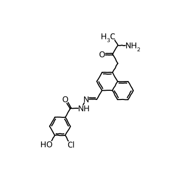 CC(N)C(=O)Cc1ccc(/C=N/NC(=O)c2ccc(O)c(Cl)c2)c2ccccc12